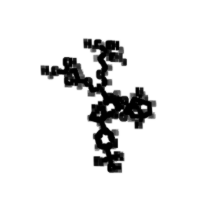 CCC(O)(CC)c1ccc(-c2cnn3c(N(COCC[Si](C)(C)C)COCC[Si](C)(C)C)cc([C@@H]4C[C@H]5CC[C@@H](C4)N5C(=O)OC(C)(C)C)nc23)cn1